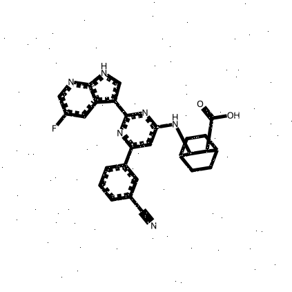 N#Cc1cccc(-c2cc(NC3C4CCC(CC4)C3C(=O)O)nc(-c3c[nH]c4ncc(F)cc34)n2)c1